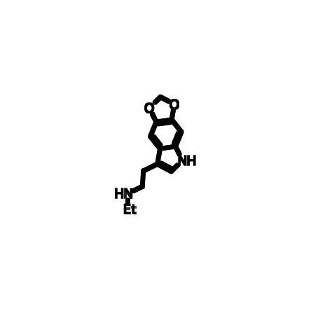 CCNCCc1c[nH]c2cc3c(cc12)OCO3